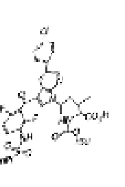 CCCS(=O)(=O)Nc1ccc(F)c(C(=O)c2cn(C(C)CC(C)C(NC(=O)OC(C)(C)C)C(=O)O)c3ncc(-c4ccc(Cl)cc4)cc23)c1F